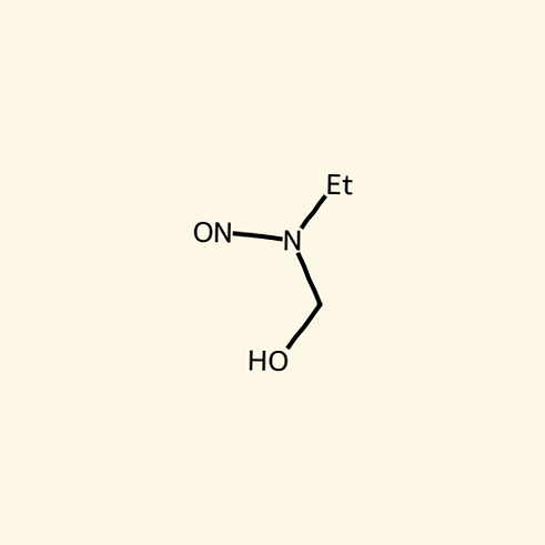 CCN(CO)N=O